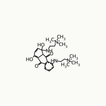 C[N+](C)(C)CCNc1cccc2c1C(=O)C1C(=C(O)C=CC1(O)NCC[N+](C)(C)C)C2=O